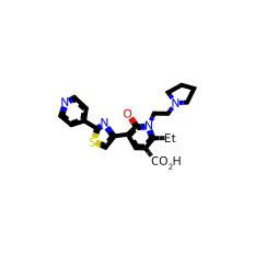 CCc1c(C(=O)O)cc(-c2csc(-c3ccncc3)n2)c(=O)n1CCN1CCCC1